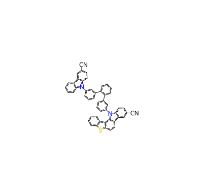 N#Cc1ccc2c(c1)c1ccccc1n2-c1cccc(-c2ccccc2-c2cccc(-n3c4ccc(C#N)cc4c4ccc5sc6ccccc6c5c43)c2)c1